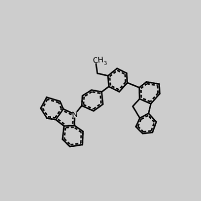 CCc1ccc(-c2cccc3c2Cc2ccccc2-3)cc1-c1ccc(-n2c3ccccc3c3ccccc32)cc1